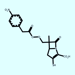 CC1(COOC(=O)Cc2ccc([N+](=O)[O-])cc2)C(=O)N2C(C(=O)O)=C(S)CC21